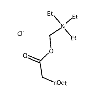 CCCCCCCCCC(=O)OC[N+](CC)(CC)CC.[Cl-]